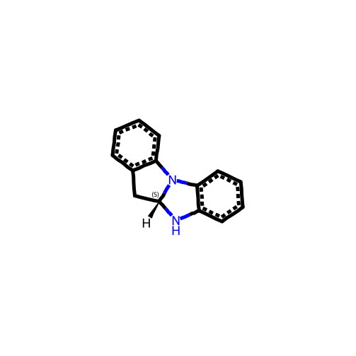 c1ccc2c(c1)C[C@H]1Nc3ccccc3N21